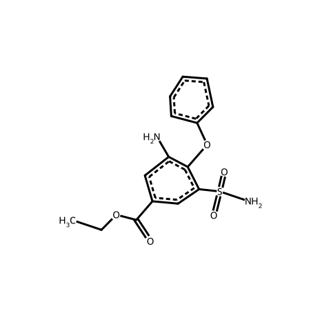 CCOC(=O)c1cc(N)c(Oc2ccccc2)c(S(N)(=O)=O)c1